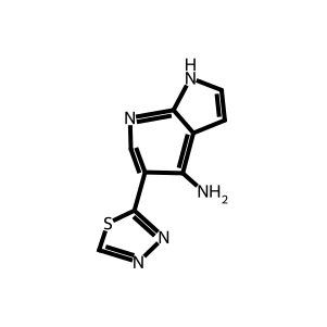 Nc1c(-c2nncs2)cnc2[nH]ccc12